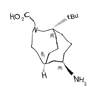 CC(C)(C)[C@]12C[C@H](CN1C(=O)O)[C@H](N)C2